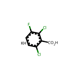 O=C(O)c1c(Cl)ccc(F)c1Cl.[KH]